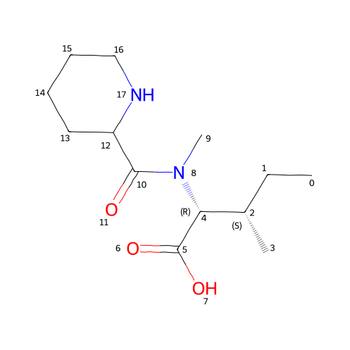 CC[C@H](C)[C@H](C(=O)O)N(C)C(=O)C1CCCCN1